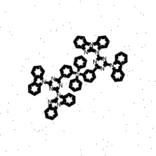 c1ccc(S(c2ccccc2)(c2cccc(-c3nc(-n4c5ccccc5c5ccccc54)nc(-n4c5ccccc5n5c6ccccc6nc45)n3)c2)c2cccc(-c3nc(-n4c5ccccc5c5ccccc54)nc(-n4c5ccccc5n5c6ccccc6nc45)n3)c2)cc1